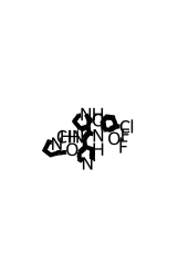 CN1CCCC1COc1cnccc1-c1[nH]c2c(c1Nc1cccc(Cl)c1OC(F)F)C(=O)NCC2